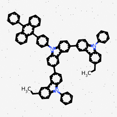 CCc1ccc2c(c1)c1cc(-c3ccc4c(c3)c3cc(-c5ccc6c(c5)c5cc(CC)ccc5n6-c5ccccc5)ccc3n4-c3ccc(-c4c5ccccc5c(-c5ccccc5)c5ccccc45)cc3)ccc1n2-c1ccccc1